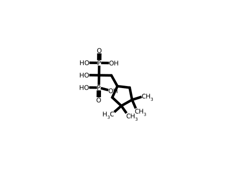 CC1(C)CC(CC(O)(P(=O)(O)O)P(=O)(O)O)CC1(C)C